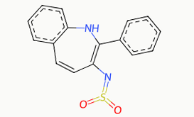 O=S(=O)=NC1=C(c2ccccc2)Nc2ccccc2C=C1